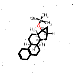 CC(C)(C)[Si](C)(C)O[C@@]12C[C@@H]1C[C@H]1[C@@H]3CCC4=C(CC=CC4)[C@H]3CC[C@@]12C